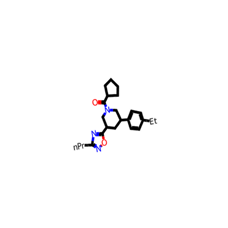 CCCc1noc(C2CC(c3ccc(CC)cc3)CN(C(=O)C3CCCC3)C2)n1